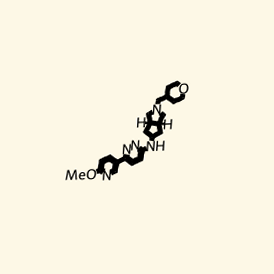 COc1ccc(-c2ccc(NC3C[C@@H]4CN(CC5CCOCC5)C[C@@H]4C3)nn2)cn1